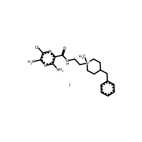 C[N+]1(CCNC(=O)c2nc(Cl)c(N)nc2N)CCC(Cc2ccccc2)CC1.[I-]